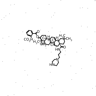 CC1(C)CC[C@]2(C(=O)NCCCN3CCNCC3)CC[C@]3(C)C(=CC[C@@H]4[C@@]5(C)CC[C@H](OC(=O)c6ccccc6C(=O)O)C(C)(C)[C@@H]5CC[C@]43C)[C@@H]2C1